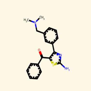 CN(C)Cc1cccc(-c2nc(N)sc2C(=O)c2ccccc2)c1